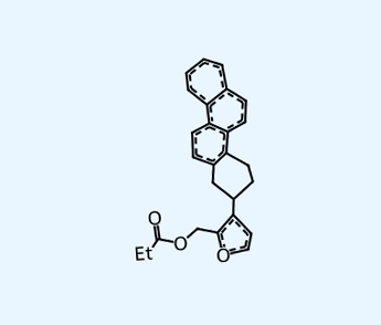 CCC(=O)OCc1occc1C1CCc2c(ccc3c2ccc2ccccc23)C1